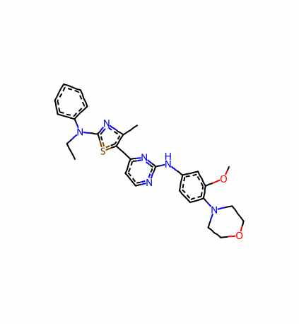 CCN(c1ccccc1)c1nc(C)c(-c2ccnc(Nc3ccc(N4CCOCC4)c(OC)c3)n2)s1